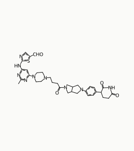 Cc1nc(Nc2ncc(C=O)s2)cc(N2CCN(CCCC(=O)N3CC4CN(c5ccc(C6CCC(=O)NC6=O)cc5)CC4C3)CC2)n1